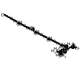 CC[C@H](C(=O)N1CCCC[C@H]1C(=O)O[C@H](CCc1ccc(OC)c(OC)c1)c1cccc(OCC(=O)NCCOCCOCCOCC(=O)NCCOCCOCCOCC(=O)NC/C(=C/NCCOCCOCCOCC(=O)NCCOCCOCCCCCCCl)N=N)c1)c1cc(OC)c(OC)c(OC)c1